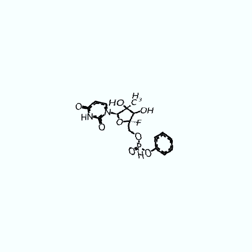 C[C@@]1(O)C(O)[C@@](F)(CO[PH](=O)Oc2ccccc2)O[C@H]1n1ccc(=O)[nH]c1=O